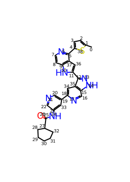 Cc1ccc(-c2nccc3[nH]c(-c4n[nH]c5cnc(-c6cncc(NC(=O)C7CCCCC7)c6)cc45)cc23)s1